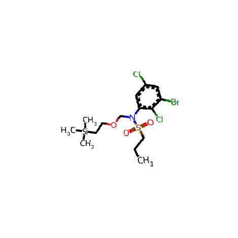 CCCS(=O)(=O)N(COCC[Si](C)(C)C)c1cc(Cl)cc(Br)c1Cl